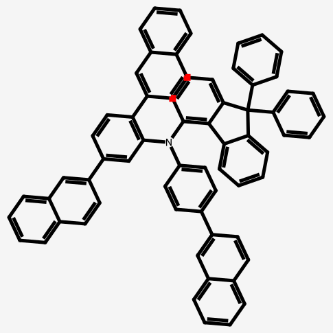 c1ccc(C2(c3ccccc3)c3ccccc3-c3c(N(c4ccc(-c5ccc6ccccc6c5)cc4)c4cc(-c5ccc6ccccc6c5)ccc4-c4ccc5ccccc5c4)cccc32)cc1